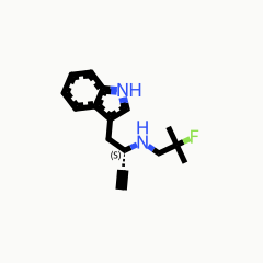 C#C[C@H](Cc1c[nH]c2ccccc12)NCC(C)(C)F